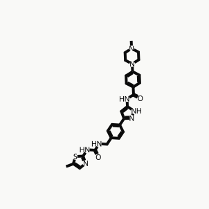 Cc1cnc(NC(=O)NCc2ccc(-c3cc(NC(=O)c4ccc(N5CCN(C)CC5)cc4)[nH]n3)cc2)s1